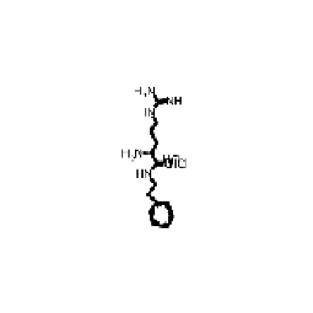 Cl.Cl.N=C(N)NCCC[C@H](N)C(=O)NCCc1ccccc1